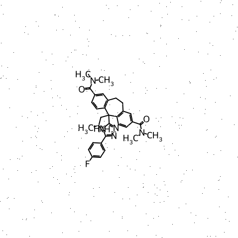 C[C@H](N)CC1(c2nnc(-c3ccc(F)cc3)[nH]2)c2ccc(C(=O)N(C)C)cc2CCc2cc(C(=O)N(C)C)ccc21